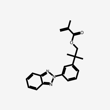 C=C(C)C(=O)OCC(C)(C)c1cccc(-n2nc3ccccc3n2)c1